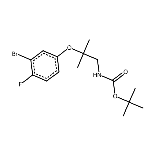 CC(C)(C)OC(=O)NCC(C)(C)Oc1ccc(F)c(Br)c1